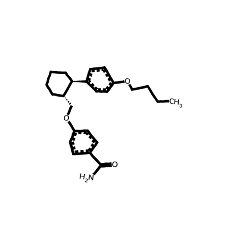 CCCCOc1ccc([C@@H]2CCCC[C@H]2COc2ccc(C(N)=O)cc2)cc1